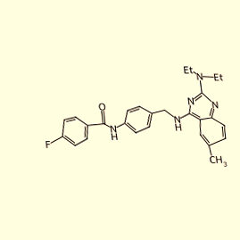 CCN(CC)c1nc(NCc2ccc(NC(=O)c3ccc(F)cc3)cc2)c2cc(C)ccc2n1